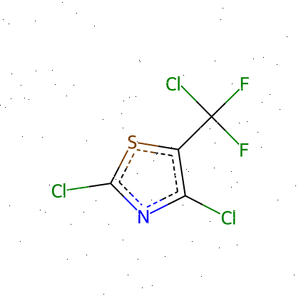 FC(F)(Cl)c1sc(Cl)nc1Cl